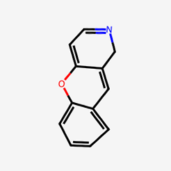 C1=NCC2=Cc3ccccc3OC2=C1